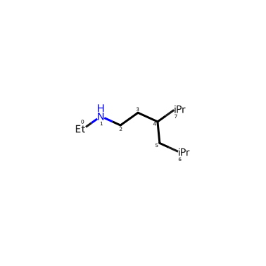 CCNCCC(CC(C)C)C(C)C